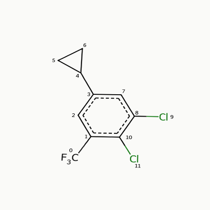 FC(F)(F)c1cc(C2CC2)cc(Cl)c1Cl